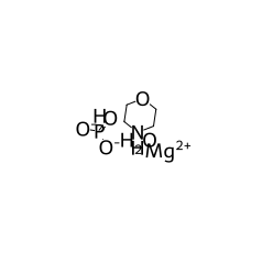 C1COCCN1.O.O=[PH]([O-])[O-].[Mg+2]